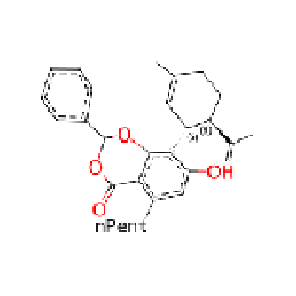 C=C(C)[C@@H]1CCC(C)=C[C@H]1c1c(O)cc(CCCCC)c2c1OC(c1ccccc1)OC2=O